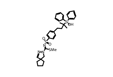 CS/C(=N\S(=O)(=O)c1ccc(CCC(C)(C)[Si](O)(c2ccccc2)c2ccccc2)cc1)N1CC2(C=N1)CCCC2